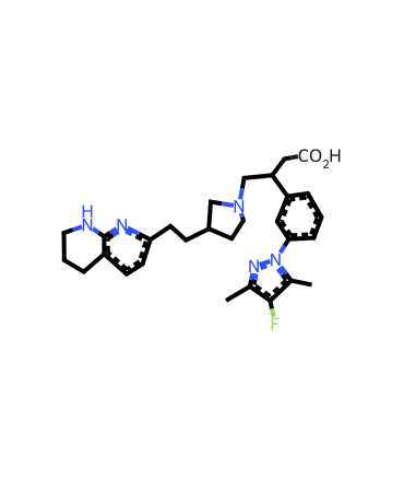 Cc1nn(-c2cccc(C(CC(=O)O)CN3CCC(CCc4ccc5c(n4)NCCC5)C3)c2)c(C)c1F